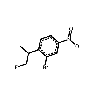 CC(CF)c1ccc([N+](=O)[O-])cc1Br